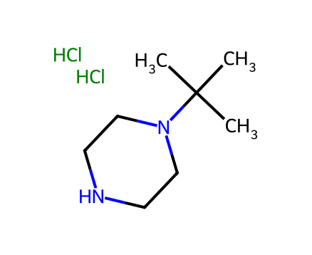 CC(C)(C)N1CCNCC1.Cl.Cl